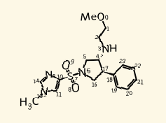 COCCN[C@H]1CN(S(=O)(=O)c2cn(C)cn2)C[C@@H]1c1ccccc1